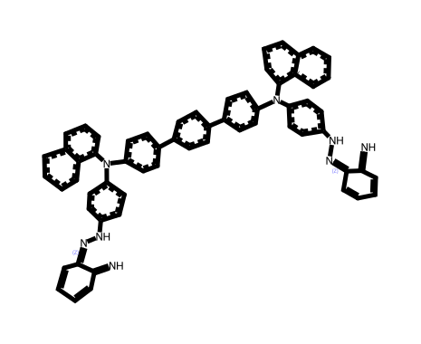 N=C1C=CC=C/C1=N/Nc1ccc(N(c2ccc(-c3ccc(-c4ccc(N(c5ccc(N/N=C6/C=CC=CC6=N)cc5)c5cccc6ccccc56)cc4)cc3)cc2)c2cccc3ccccc23)cc1